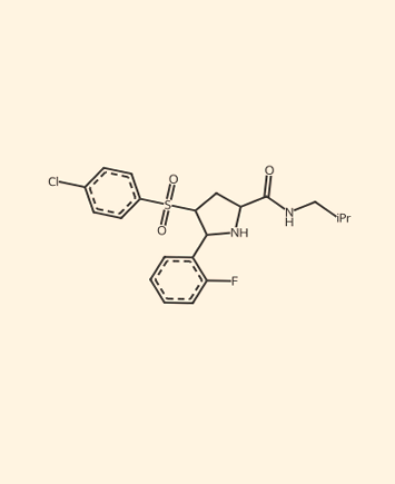 CC(C)CNC(=O)C1CC(S(=O)(=O)c2ccc(Cl)cc2)C(c2ccccc2F)N1